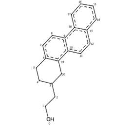 OCCC1CCc2ccc3c(ccc4ccccc43)c2C1